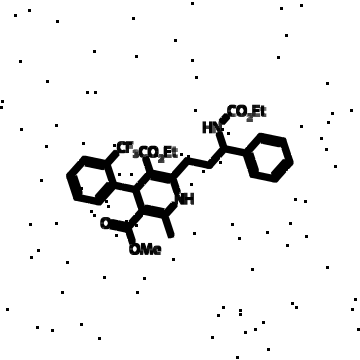 CCOC(=O)NC(CCC1=C(C(=O)OCC)C(c2ccccc2C(F)(F)F)C(C(=O)OC)=C(C)N1)c1ccccc1